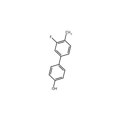 Cc1ccc(-c2ccc(O)cc2)cc1F